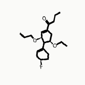 CCCO[C@H]1C=C(C(=O)CCC)C[C@@H](OCC)C1C1=CC[C@H](F)CC1